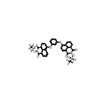 O=C1c2cccc3c(Sc4cccc(Sc5ccc6c7c(cccc57)C(=O)N(OS(=O)(=O)C(F)(F)F)C6=O)c4)ccc(c23)C(=O)N1OS(=O)(=O)C(F)(F)F